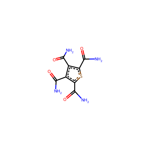 NC(=O)c1sc(C(N)=O)c(C(N)=O)c1C(N)=O